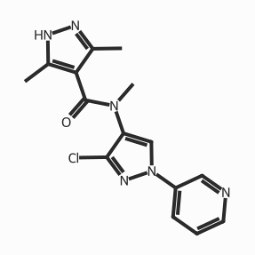 Cc1n[nH]c(C)c1C(=O)N(C)c1cn(-c2cccnc2)nc1Cl